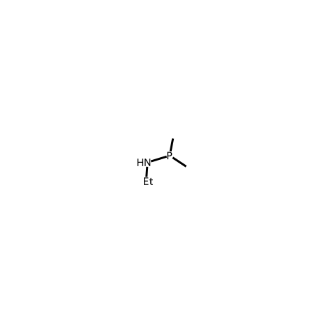 CCNP(C)C